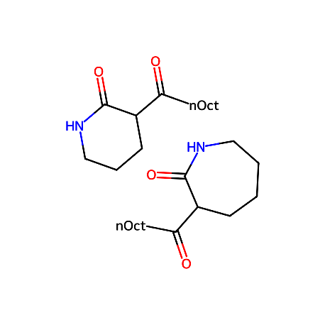 CCCCCCCCC(=O)C1CCCCNC1=O.CCCCCCCCC(=O)C1CCCNC1=O